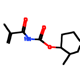 C=C(C)C(=O)NC(=O)OC1CCCCC1C